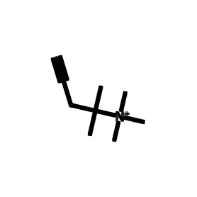 C#CCC(C)(C)[N+](C)(C)C